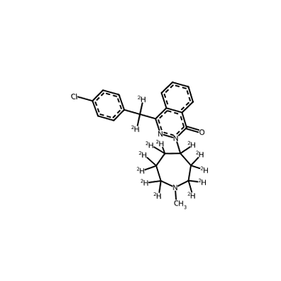 [2H]C([2H])(c1ccc(Cl)cc1)c1nn(C2([2H])C([2H])([2H])C([2H])([2H])N(C)C([2H])([2H])C([2H])([2H])C2([2H])[2H])c(=O)c2ccccc12